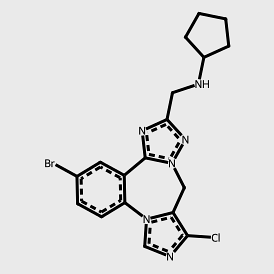 Clc1ncn2c1Cn1nc(CNC3CCCC3)nc1-c1cc(Br)ccc1-2